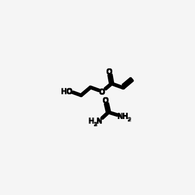 C=CC(=O)OCCO.NC(N)=O